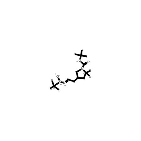 CC(C)(C)OC(=O)N1CC(C/C=N/[S+]([O-])C(C)(C)C)CC1(C)C